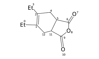 CCC1=C(CC)CC2C(=O)OC(=O)C2C1